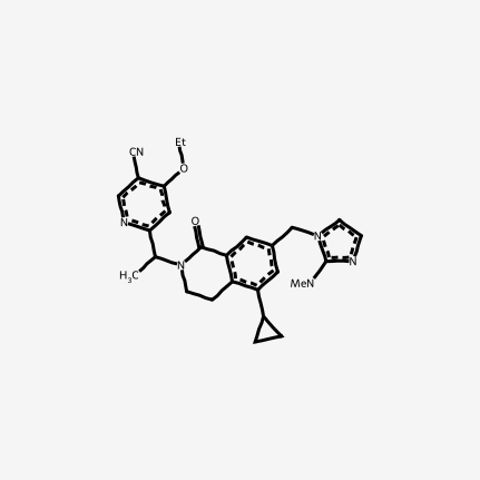 CCOc1cc(C(C)N2CCc3c(cc(Cn4ccnc4NC)cc3C3CC3)C2=O)ncc1C#N